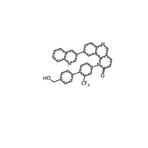 O=c1ccc2cnc3ccc(-c4cnc5ccccc5c4)cc3c2n1-c1ccc(-c2ccc(CO)cc2)c(C(F)(F)F)c1